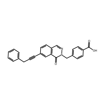 O=C(O)c1ccc(Cn2ncc3ccc(C#CCc4ccccc4)cc3c2=O)cc1